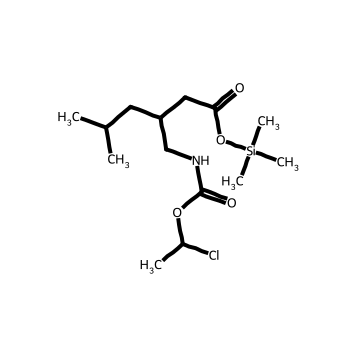 CC(C)CC(CNC(=O)OC(C)Cl)CC(=O)O[Si](C)(C)C